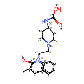 Cc1cc2ccccc2n(CCN2CCC(NC(=O)O)CC2)c1=O